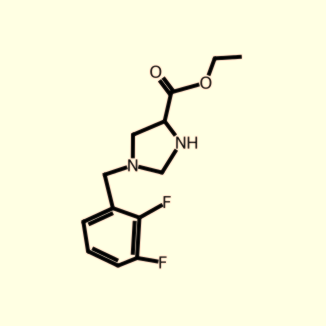 CCOC(=O)C1CN(Cc2cccc(F)c2F)CN1